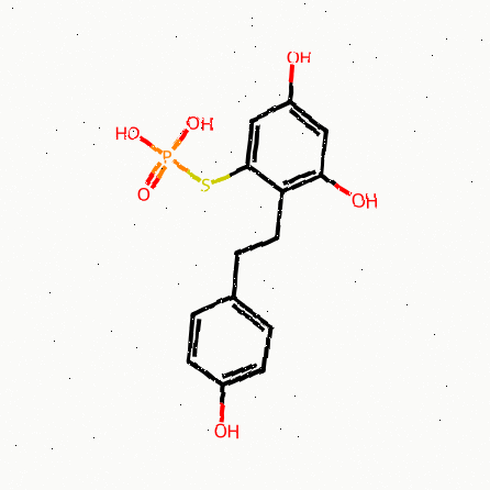 O=P(O)(O)Sc1cc(O)cc(O)c1CCc1ccc(O)cc1